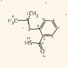 CC(C)Cc1ccccc1C(=O)S